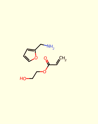 C=CC(=O)OCCO.NCc1ccco1